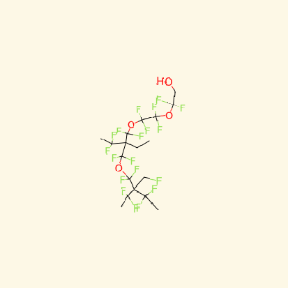 CCC(C(C)(F)F)(C(F)(F)OC(F)(F)C(F)(F)OC(F)(F)CO)C(F)(F)OC(F)(F)C(CF)(C(C)(F)F)C(C)(F)F